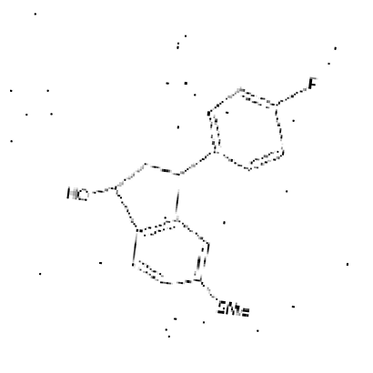 CSc1ccc2c(c1)C(c1ccc(F)cc1)CC2O